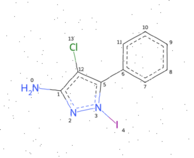 Nc1nn(I)c(-c2ccccc2)c1Cl